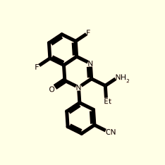 CCC(N)c1nc2c(F)ccc(F)c2c(=O)n1-c1cccc(C#N)c1